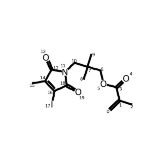 C=C(C)C(=O)OCC(C)(C)CN1C(=O)C(C)=C(I)C1=O